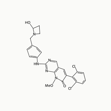 COn1c(=O)c(-c2c(Cl)cccc2Cl)cc2cnc(Nc3ccc(CN4CCC4O)cc3)nc21